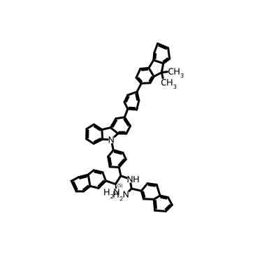 CC1(C)c2ccccc2-c2ccc(-c3ccc(-c4ccc5c(c4)c4ccccc4n5-c4ccc(C(NC(N)c5ccc6ccccc6c5)[C@@H](N)c5ccc6ccccc6c5)cc4)cc3)cc21